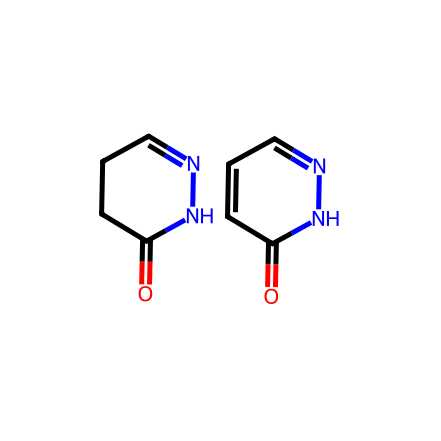 O=C1CCC=NN1.O=c1cccn[nH]1